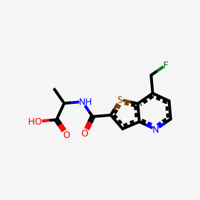 CC(NC(=O)c1cc2nccc(CF)c2s1)C(=O)O